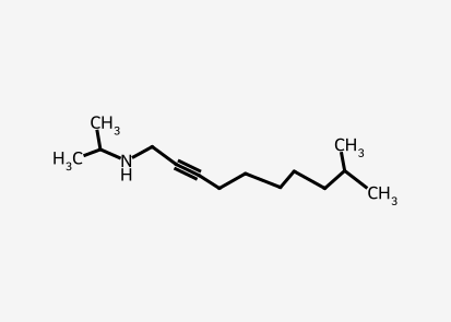 CC(C)CCCCCC#CCNC(C)C